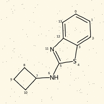 c1ccc2sc(NC3CCC3)nc2c1